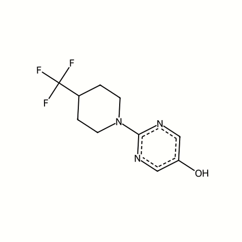 Oc1cnc(N2CCC(C(F)(F)F)CC2)nc1